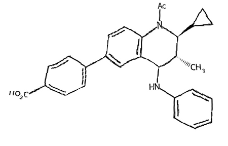 CC(=O)N1c2ccc(-c3ccc(C(=O)O)cc3)cc2C(Nc2ccccc2)[C@@H](C)[C@@H]1C1CC1